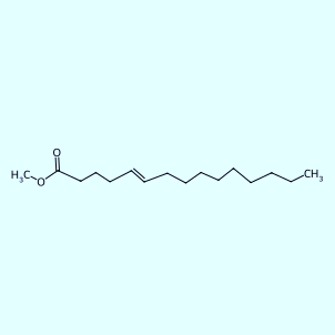 CCCCCCCCCC=CCCCC(=O)OC